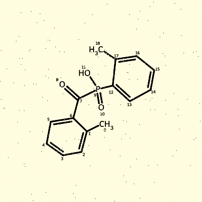 Cc1ccccc1C(=O)P(=O)(O)c1ccccc1C